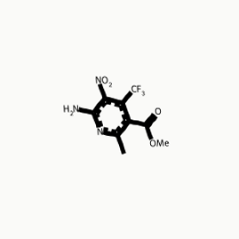 COC(=O)c1c(C)nc(N)c([N+](=O)[O-])c1C(F)(F)F